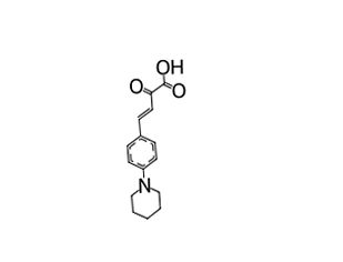 O=C(O)C(=O)C=Cc1ccc(N2CCCCC2)cc1